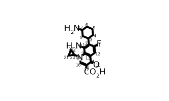 Nc1c(C2CCCC(N)C2)c(F)cc2c(=O)c(C(=O)O)cn(C3CC3)c12